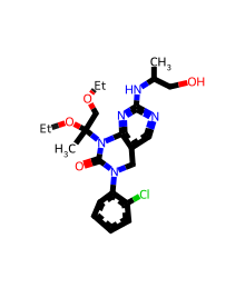 CCOCC(C)(OCC)N1C(=O)N(c2ccccc2Cl)Cc2cnc(NC(C)CO)nc21